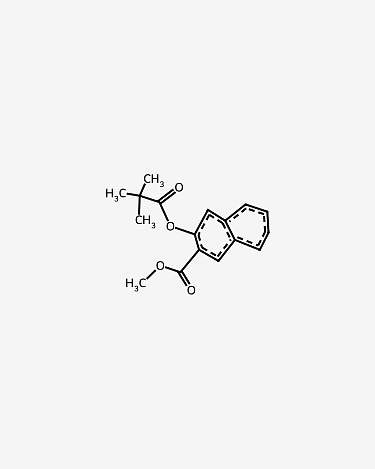 COC(=O)c1cc2ccccc2cc1OC(=O)C(C)(C)C